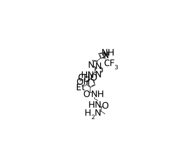 CCc1cc(Nc2nccn3c(-c4c[nH]nc4C(F)(F)F)cnc23)ccc1C(=O)NCCNC(=O)C(C)N.O=CO